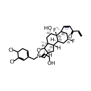 C=CC(=O)/C=C\[C@@]1(C)C[C@@H](F)C[C@H]2[C@@H]3C[C@H]4CN(CC5=CCC(Cl)C(Cl)=C5)O[C@@]4(C(=C)CO)[C@@]3(C)C[C@H](O)[C@@]21F